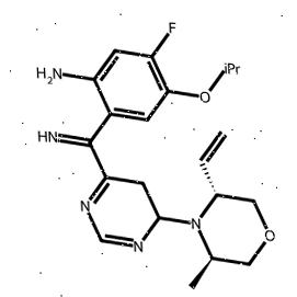 C=C[C@@H]1COC[C@@H](C)N1C1CC(C(=N)c2cc(OC(C)C)c(F)cc2N)=NC=N1